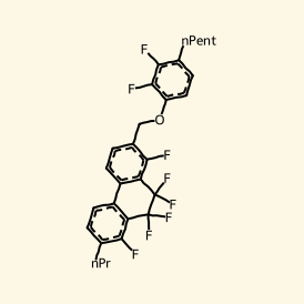 CCCCCc1ccc(OCc2ccc3c(c2F)C(F)(F)C(F)(F)c2c-3ccc(CCC)c2F)c(F)c1F